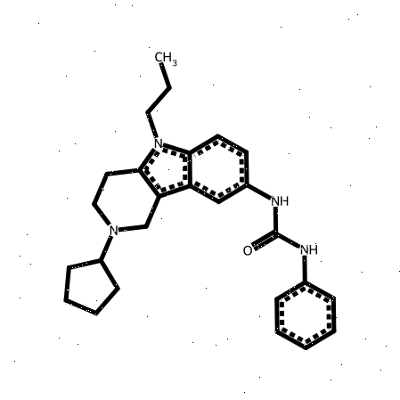 CCCn1c2c(c3cc(NC(=O)Nc4ccccc4)ccc31)CN(C1CCCC1)CC2